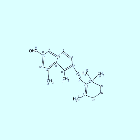 CC1=C(C=Cc2ccc3cc(C=O)cc(C)c3c2C)C(C)(C)CCC1